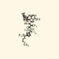 CC/C=C\C=C(/C)c1noc(C(C)(C)NC(=O)/C(C)=C(\O)[C@@H]2OC3C(O)=CC=C4C[C@H]5N(CC6CC6)CC[C@@]2(C43)[C@]5(C)O)n1